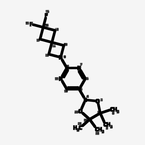 CC1(C)OB(c2cnc(N3CC4(C3)CC(F)(F)C4)nc2)OC1(C)C